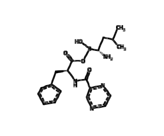 CC(C)C[C@H](N)B(O)OC(=O)[C@H](Cc1ccccc1)NC(=O)c1cnccn1